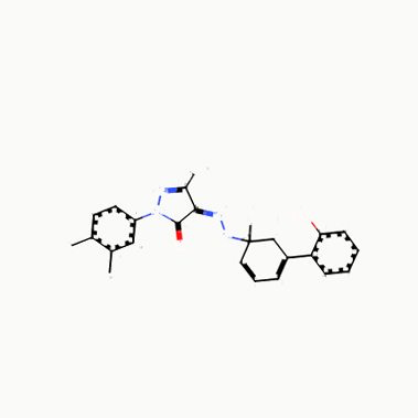 Cc1ccc(N2N=C(C(C)(C)C)/C(=N/NC3(C(=O)O)C=CC=C(c4ccccc4O)C3)C2=O)cc1C